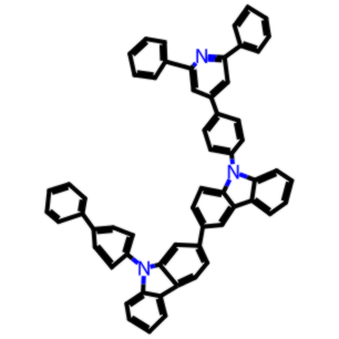 c1ccc(-c2ccc(-n3c4ccccc4c4ccc(-c5ccc6c(c5)c5ccccc5n6-c5ccc(-c6cc(-c7ccccc7)nc(-c7ccccc7)c6)cc5)cc43)cc2)cc1